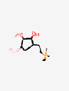 BC1CC(CCP(=C)(C)C)C(O)C1O